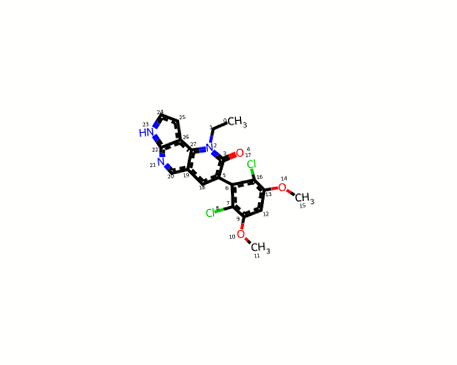 CCn1c(=O)c(-c2c(Cl)c(OC)cc(OC)c2Cl)cc2cnc3[nH]ccc3c21